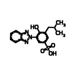 CC(C)Cc1cc(S(=O)(=O)O)cc(-n2nc3ccccc3n2)c1O